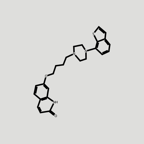 O=c1ccc2ccc(OCCCCN3CCN(c4cccc5ccsc45)CC3)cc2[nH]1